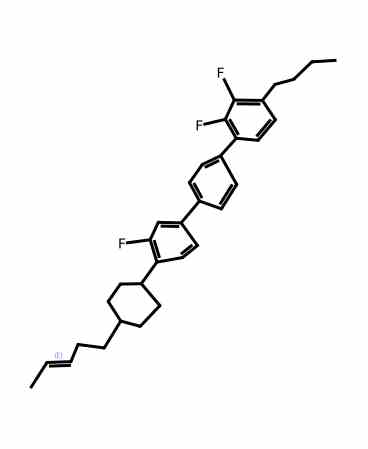 C/C=C/CCC1CCC(c2ccc(-c3ccc(-c4ccc(CCCC)c(F)c4F)cc3)cc2F)CC1